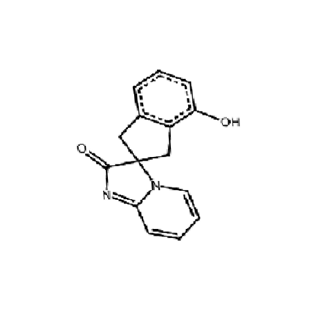 O=C1N=C2C=CC=CN2C12Cc1cccc(O)c1C2